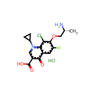 C[C@@H](N)COc1c(F)cc2c(=O)c(C(=O)O)cn(C3CC3)c2c1Cl.Cl